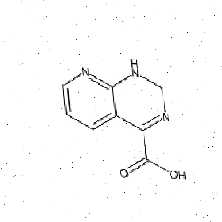 O=C(O)C1=NCNc2ncccc21